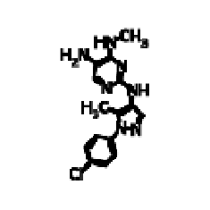 CNc1nc(Nc2cnn(-c3ccc(Cl)cc3)c2C)ncc1N